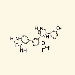 COc1cccc(C(CN)NC(=O)c2cc(-c3ccc(N)c(C(=N)F)c3)ccc2OC(F)F)c1